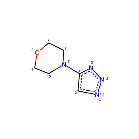 c1[nH]nnc1N1CCOCC1